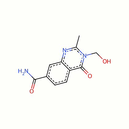 Cc1nc2cc(C(N)=O)ccc2c(=O)n1CO